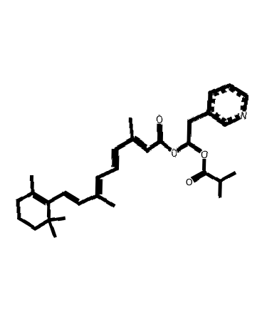 CC(C=CC1=C(C)CCCC1(C)C)=CC=CC(C)=CC(=O)OC(Cc1cccnc1)OC(=O)C(C)C